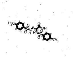 Cc1ccc(S(=O)(=O)NC[C@H](NS(=O)(=O)c2ccc(C)cc2)C(=O)O)cc1